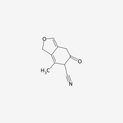 CC1=C2COC=C2CC(=O)C1C#N